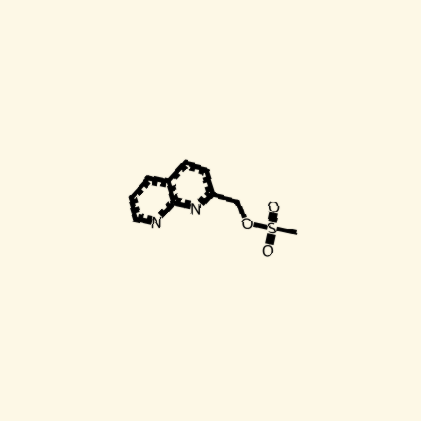 CS(=O)(=O)OCc1ccc2cccnc2n1